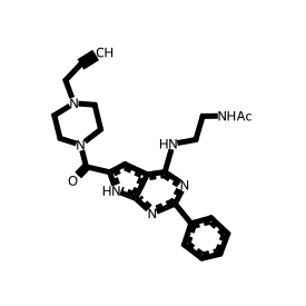 C#CCN1CCN(C(=O)c2cc3c(NCCNC(C)=O)nc(-c4ccccc4)nc3[nH]2)CC1